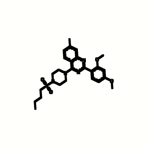 CCCCS(=O)(=O)N1CCN(c2nc(-c3ccc(OC)cc3OC)nc3cc(C)ccc23)CC1